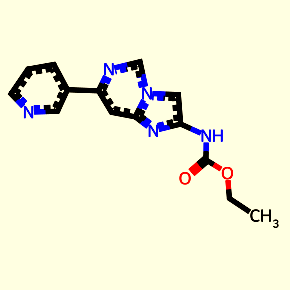 CCOC(=O)Nc1cn2cnc(-c3cccnc3)cc2n1